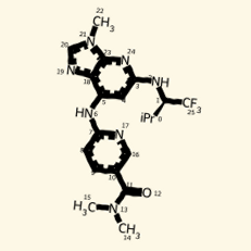 CC(C)[C@@H](Nc1cc(Nc2ccc(C(=O)N(C)C)cn2)c2ncn(C)c2n1)C(F)(F)F